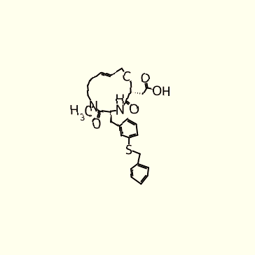 CN1CCC/C=C/CCC[C@H](CC(=O)O)C(=O)N[C@@H](Cc2cccc(SCc3ccccc3)c2)C1=O